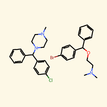 CN(C)CCOC(c1ccccc1)c1ccc(Br)cc1.CN1CCN(C(c2ccccc2)c2ccc(Cl)cc2)CC1